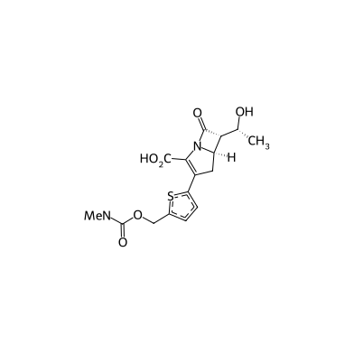 CNC(=O)OCc1ccc(C2=C(C(=O)O)N3C(=O)[C@H]([C@@H](C)O)[C@H]3C2)s1